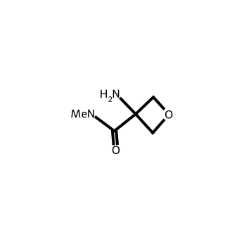 CNC(=O)C1(N)COC1